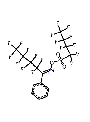 O=S(=O)(O/N=C(/c1ccccc1)C(F)(F)C(F)(F)C(F)(F)C(F)(F)F)C(F)(F)C(F)(F)C(F)(F)C(F)(F)F